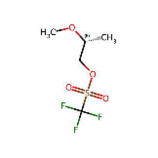 CO[C@H](C)COS(=O)(=O)C(F)(F)F